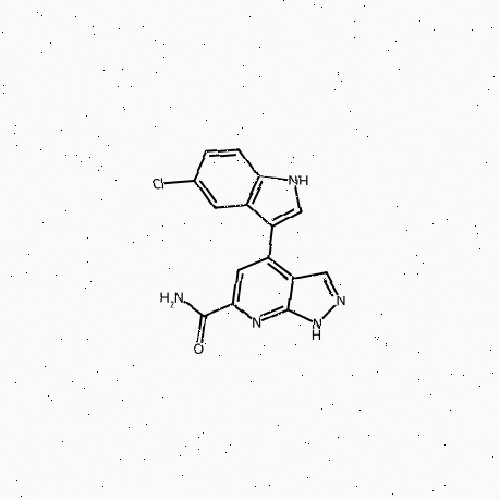 NC(=O)c1cc(-c2c[nH]c3ccc(Cl)cc23)c2cn[nH]c2n1